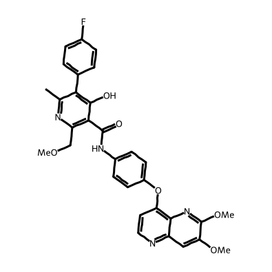 COCc1nc(C)c(-c2ccc(F)cc2)c(O)c1C(=O)Nc1ccc(Oc2ccnc3cc(OC)c(OC)nc23)cc1